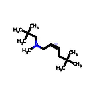 CN(C/C=C\CC(C)(C)C)CC(C)(C)C